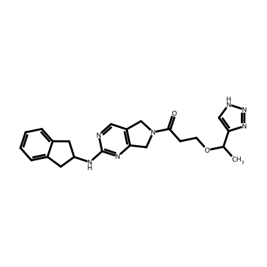 CC(OCCC(=O)N1Cc2cnc(NC3Cc4ccccc4C3)nc2C1)c1c[nH]nn1